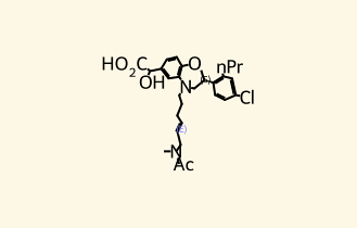 CCCc1cc(Cl)ccc1[C@@H]1COc2ccc(C(O)C(=O)O)cc2N(CCC/C=C/CN(C)C(C)=O)C1